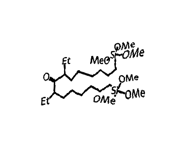 CCC(CCCCCC[Si](OC)(OC)OC)C(=O)C(CC)CCCCCC[Si](OC)(OC)OC